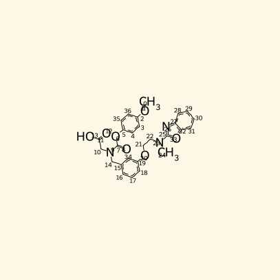 COc1ccc(OC(=O)N(CC(=O)O)Cc2cccc(OCCN(C)c3nc4ccccc4o3)c2)cc1